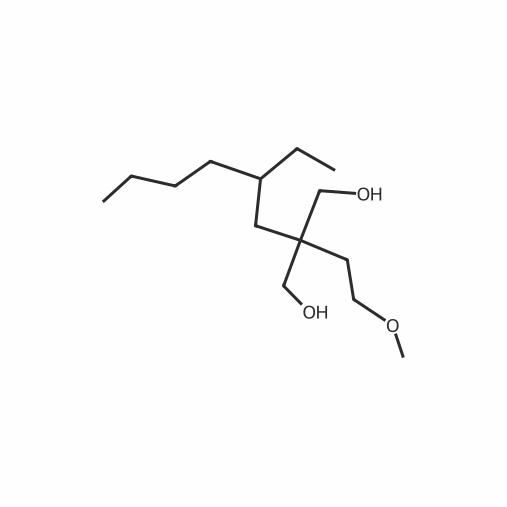 CCCCC(CC)CC(CO)(CO)CCOC